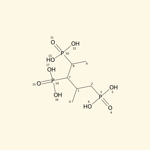 CC(CP(=O)(O)O)C(C(C)P(=O)(O)O)P(=O)(O)O